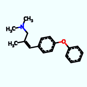 CC(=Cc1ccc(Oc2ccccc2)cc1)CN(C)C